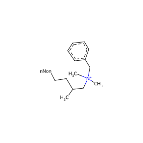 CCCCCCCCCCCC(C)C[N+](C)(C)Cc1ccccc1